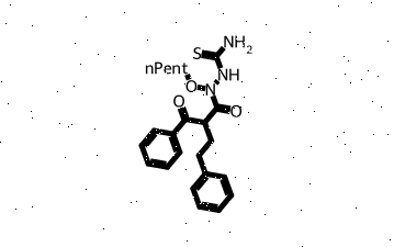 CCCCCON(NC(N)=S)C(=O)C(CCc1ccccc1)C(=O)c1ccccc1